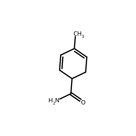 CC1=CCC(C(N)=O)C=C1